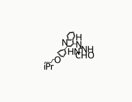 CC(C)CCCOc1ccc(-c2cc(NC(=N)NC=O)c3ccccc3n2)cc1